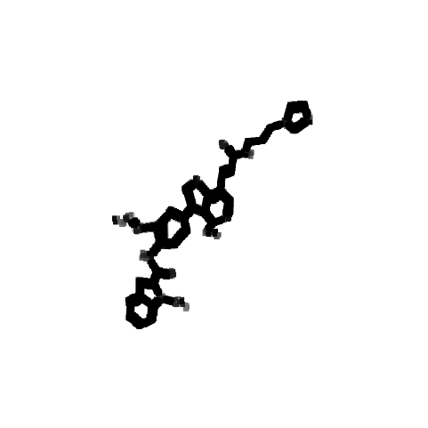 COc1cc(-c2csc3c(C=CC(=O)NCCCn4ccnc4)cnc(N)c23)ccc1NC(=O)c1cc2ccccc2n1C